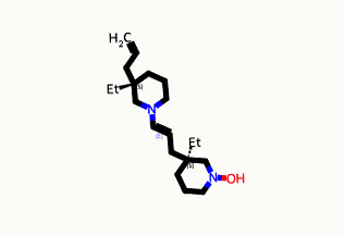 C=CC[C@]1(CC)CCCN(/C=C/C[C@]2(CC)CCCN(O)C2)C1